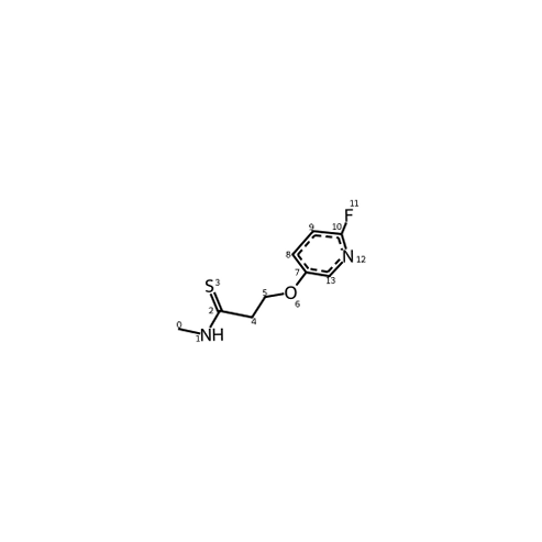 CNC(=S)CCOc1ccc(F)nc1